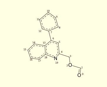 O=COCc1cc(-c2ccccc2)c2ccccc2n1